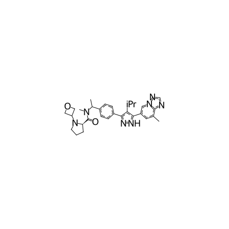 Cc1cc(-c2[nH]nc(-c3ccc(C(C)N(C)C(=O)[C@H]4CCCN4C4COC4)cc3)c2C(C)C)cn2ncnc12